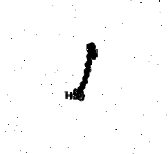 O=S(=O)(O)CCCCCCCCCCCCn1cnc2ccccc21